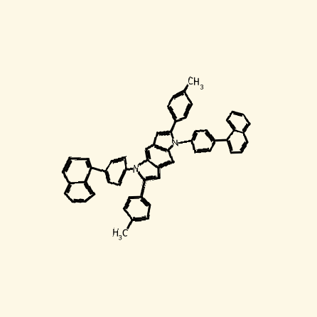 Cc1ccc(-c2cc3cc4c(cc(-c5ccc(C)cc5)n4-c4ccc(-c5cccc6ccccc56)cc4)cc3n2-c2ccc(-c3cccc4ccccc34)cc2)cc1